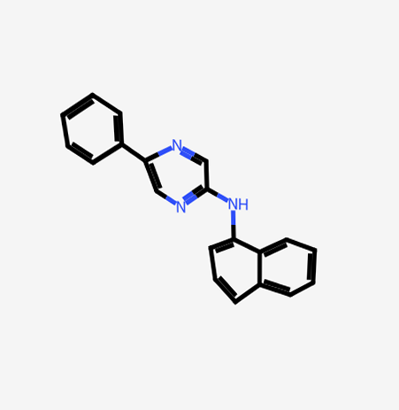 c1ccc(-c2cnc(Nc3cccc4ccccc34)cn2)cc1